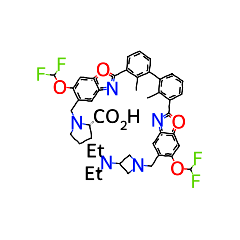 CCN(CC)C1CN(Cc2cc3nc(-c4cccc(-c5cccc(-c6nc7cc(CN8CCC[C@H]8C(=O)O)c(OC(F)F)cc7o6)c5C)c4C)oc3cc2OC(F)F)C1